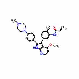 C=CC(=O)Nc1cc(-c2c(-c3ccc(N4CCN(C)CC4)cc3)[nH]c3nccc(OC)c23)ccc1C